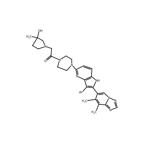 Cc1c(-c2[nH]c3ccc(N4CCN(C(=O)CN5CCC(C)(O)C5)CC4)nc3c2C(C)C)cn2ncnc2c1C